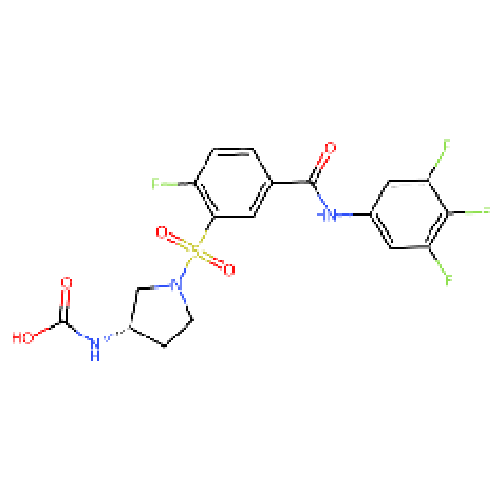 O=C(O)N[C@H]1CCN(S(=O)(=O)c2cc(C(=O)Nc3cc(F)c(F)c(F)c3)ccc2F)C1